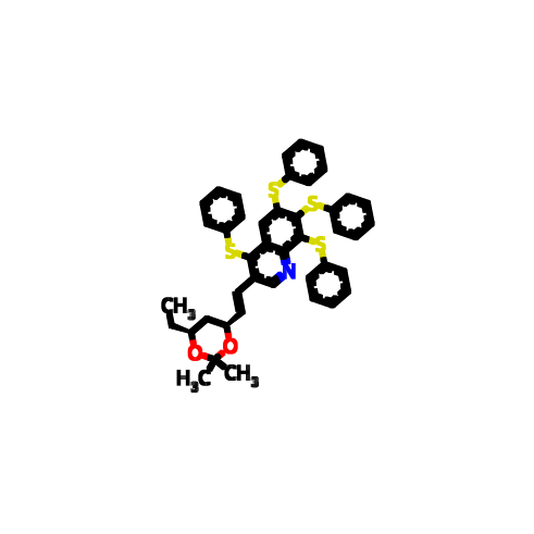 CC[C@H]1C[C@@H](/C=C/c2cnc3c(Sc4ccccc4)c(Sc4ccccc4)c(Sc4ccccc4)cc3c2Sc2ccccc2)OC(C)(C)O1